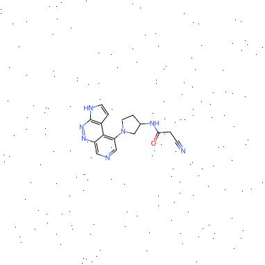 N#CCC(=O)NC1CCN(c2cncc3nnc4[nH]ccc4c23)C1